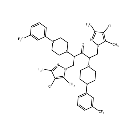 Cc1c(Cl)c(C(F)(F)F)nn1CC(C(=O)C(Cn1nc(C(F)(F)F)c(Cl)c1C)N1CCN(c2cccc(C(F)(F)F)c2)CC1)N1CCN(c2cccc(C(F)(F)F)c2)CC1